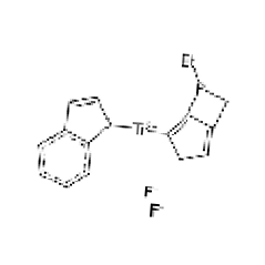 CCP1CC2=CC[C]([Ti+2][CH]3C=Cc4ccccc43)=C21.[F-].[F-]